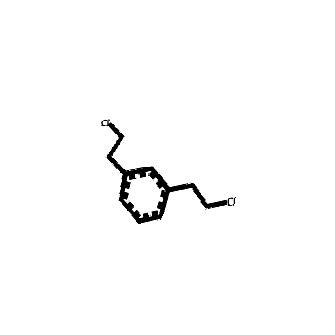 ClCCc1cccc(CCCl)c1